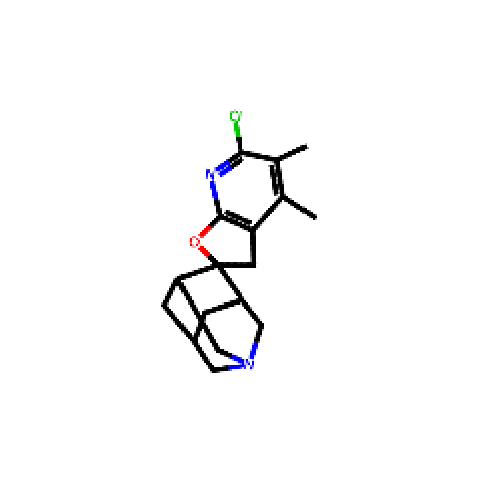 Cc1c(Cl)nc2c(c1C)CC1(O2)C2CC3CC1CN(C3)C2